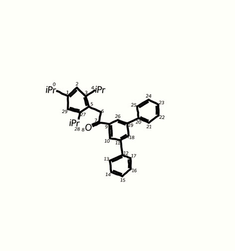 CC(C)c1cc(C(C)C)c(CC(=O)c2cc(-c3ccccc3)[c]c(-c3ccccc3)c2)c(C(C)C)c1